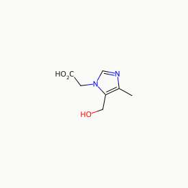 Cc1ncn(CC(=O)O)c1CO